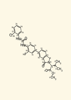 COC(=O)[C@H](C(C)C)N1Cc2ccc(-c3ccc(NC(=O)Nc4ccccc4Cl)c(F)c3)cc2C1=O